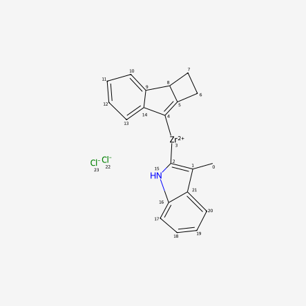 Cc1[c]([Zr+2][C]2=C3CCC3c3ccccc32)[nH]c2ccccc12.[Cl-].[Cl-]